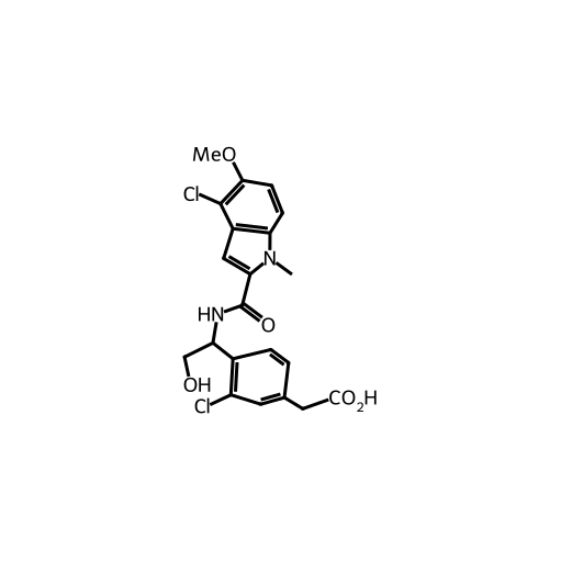 COc1ccc2c(cc(C(=O)NC(CO)c3ccc(CC(=O)O)cc3Cl)n2C)c1Cl